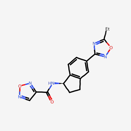 CCc1nc(-c2ccc3c(c2)CC[C@H]3NC(=O)c2cnon2)no1